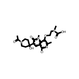 CC(=O)N1CCC(O)(c2cc3c(Cl)nc(C)c(OCCN(C)C(=O)O)c3n(C)c2=O)CC1